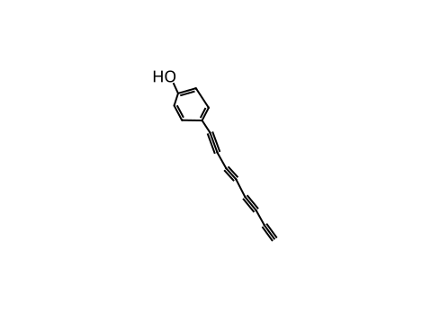 C#CC#CC#CC#Cc1ccc(O)cc1